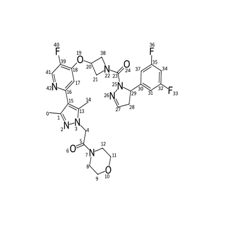 Cc1nn(CC(=O)N2CCOCC2)c(C)c1-c1cc(OC2CN(C(=O)N3N=CCC3c3cc(F)cc(F)c3)C2)c(F)cn1